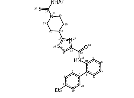 CCc1ccc(-c2ccccc2NC(=O)c2csc(C3CCN(C(=S)NC(C)=O)CC3)n2)cc1